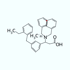 CCc1ccccc1Cc1cccc(C(CC(=O)O)N(Cc2ccccc2)[C@H](C)c2ccccc2)c1